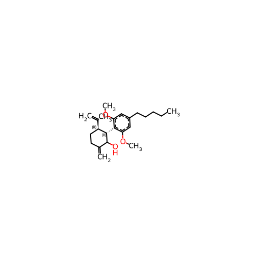 C=C1CC[C@@H](C(=C)C)[C@H](c2c(OC)cc(CCCCC)cc2OC)C1O